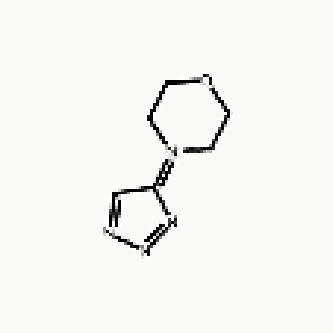 C1=NN=NC1=[N+]1CCOCC1